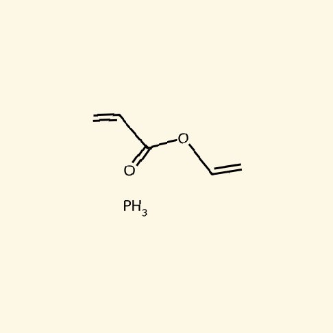 C=COC(=O)C=C.P